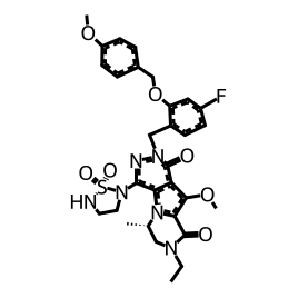 CCN1C[C@H](C)n2c(c(OC)c3c(=O)n(Cc4ccc(F)cc4OCc4ccc(OC)cc4)nc(N4CCNS4(=O)=O)c32)C1=O